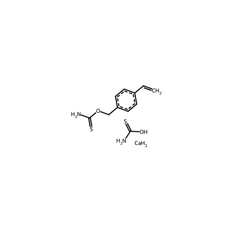 C=Cc1ccc(COC(N)=S)cc1.NC(O)=S.[CaH2]